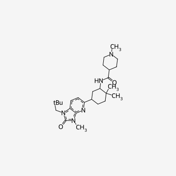 CN1CCC(C(=O)NC2CC(c3ccc4c(n3)n(C)c(=O)n4CC(C)(C)C)CCC2(C)C)CC1